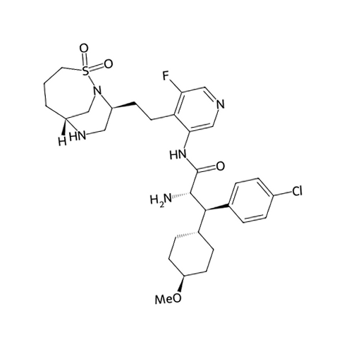 CO[C@H]1CC[C@H]([C@H](c2ccc(Cl)cc2)[C@H](N)C(=O)Nc2cncc(F)c2CC[C@H]2CN[C@@H]3CCCS(=O)(=O)N2C3)CC1